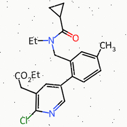 CCOC(=O)Cc1cc(-c2ccc(C)cc2CN(CC)C(=O)C2CC2)cnc1Cl